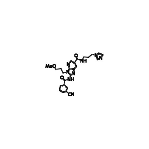 COCCCn1c(NC(=O)c2cccc(C#N)c2)nc2cc(C(=O)NCCCn3ccnc3)cnc21